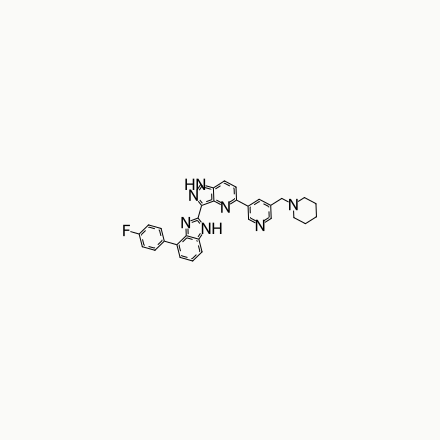 Fc1ccc(-c2cccc3[nH]c(-c4n[nH]c5ccc(-c6cncc(CN7CCCCC7)c6)nc45)nc23)cc1